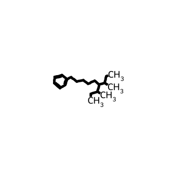 CCC(C)C(CCCCCc1ccccc1)C(C)CC